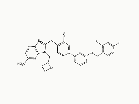 O=C(O)c1ccc2nc(Cc3ccc(-c4cccc(OCc5ccc(F)cc5F)n4)cc3F)n(CC3CCO3)c2n1